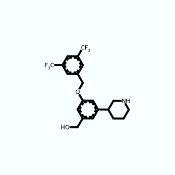 OCc1cc(OCc2cc(C(F)(F)F)cc(C(F)(F)F)c2)cc(C2CCCNC2)c1